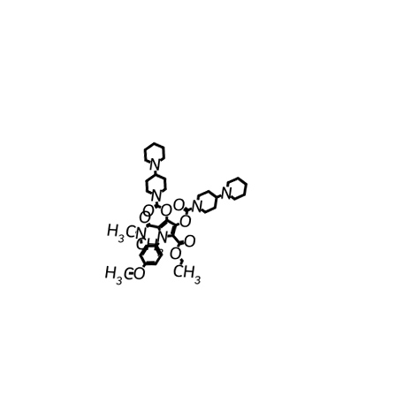 CCOC(=O)c1c(OC(=O)N2CCC(N3CCCCC3)CC2)c(OC(=O)N2CCC(N3CCCCC3)CC2)c(C(=O)N(C)C)n1-c1ccc(OC)cc1